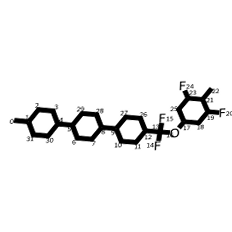 CC1CCC(C2CCC(C3CCC(C(F)(F)OC4CC(F)C(C)C(F)C4)CC3)CC2)CC1